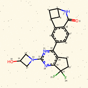 O=C1NC2CC(C2)c2cc(-c3nc(N4CC(O)C4)nc4c3CCC4(F)F)ccc21